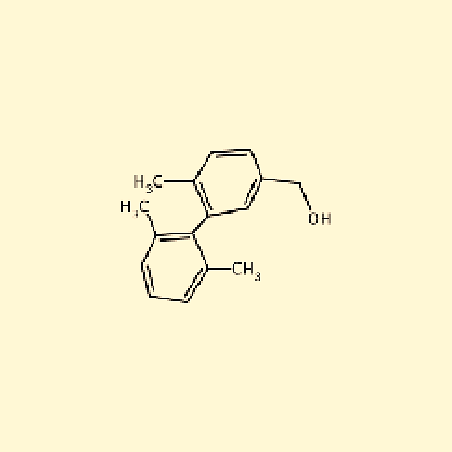 Cc1ccc(CO)cc1-c1c(C)cccc1C